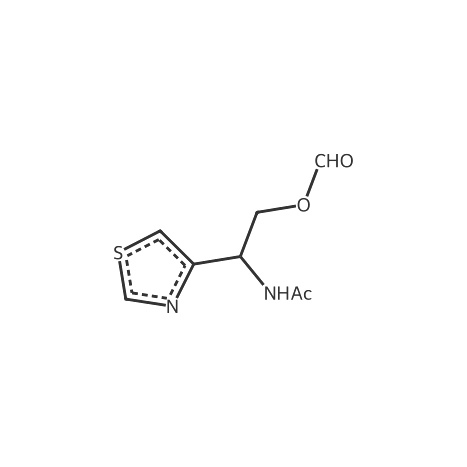 CC(=O)NC(COC=O)c1cscn1